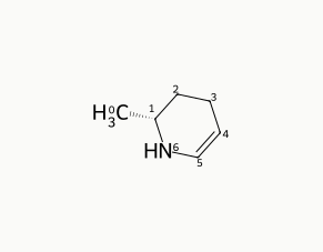 C[C@@H]1CCC=CN1